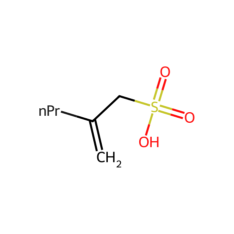 C=C(CCC)CS(=O)(=O)O